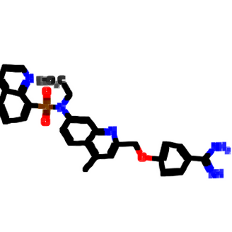 CCOC(=O)CN(c1ccc2c(C)cc(COc3ccc(C(=N)N)cc3)nc2c1)S(=O)(=O)c1cccc2cccnc12